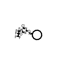 FC(F)C(F)(Oc1nc(Cl)nc(ON=C2CCCCCCCCCCC2)n1)C(F)(F)F